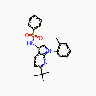 Cc1ccccc1-n1cc(NS(=O)(=O)c2ccccc2)c2ccc(C(C)(C)C)nc21